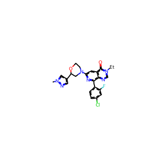 CCn1cnc2c(-c3ccc(Cl)cc3F)nc(N3CCOC(c4cnn(C)c4)C3)cc2c1=O